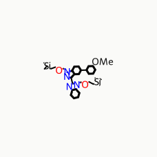 COc1cccc(-c2ccc3c(c2)c(-c2nc4ccccc4n2COCC[Si](C)(C)C)nn3COCC[Si](C)(C)C)c1